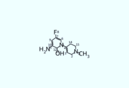 CN1CC=C(N2C=C(F)C=C(N)C2O)CC1